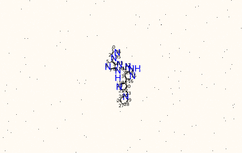 Cc1cn(-c2cncc3[nH]c(-c4n[nH]c5ncc(-c6cncc(CN7CCCCC7)c6)cc45)nc23)cn1